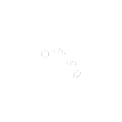 Cc1ccc(COC(=O)N2CCC(CNC(=O)c3cc[nH]c3)CC2)cc1